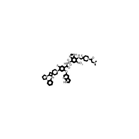 CC(C)c1ccccc1[C@@H]1CCCN1C1CC2(CCN(c3cc(Oc4cnc5[nH]ccc5c4)c(C(=O)NS(=O)(=O)c4cc([N+](=O)[O-])c(NCC5(F)CCN(C(=O)CN(C)C)CC5)c5[nH]cnc45)cc3F)CC2)C1